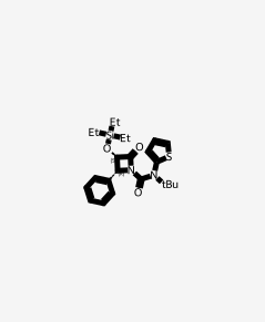 CC[Si](CC)(CC)O[C@@H]1C(=O)N(C(=O)N(c2cccs2)C(C)(C)C)[C@@H]1c1ccccc1